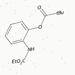 CCOC(=O)Nc1ccccc1OC(=O)C(C)(C)C